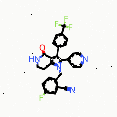 N#Cc1cc(F)ccc1Cn1c2c(c(-c3ccc(C(F)(F)F)cc3)c1-c1ccncc1)C(=O)NCC2